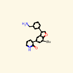 CC(C)(C)c1cc(-c2ccc[nH]c2=O)cc2c(-c3cccc(CN)c3)coc12